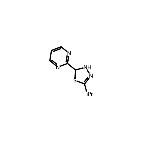 CC(C)C1=NNC(c2ncccn2)S1